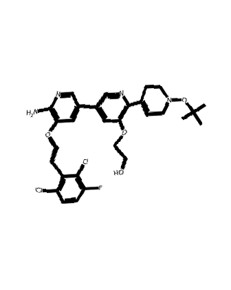 CC(C)(C)ON1CC=C(c2ncc(-c3cnc(N)c(OCCc4c(Cl)ccc(F)c4Cl)c3)cc2OCCO)CC1